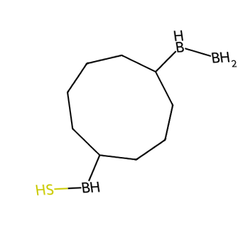 BBC1CCCCC(BS)CCC1